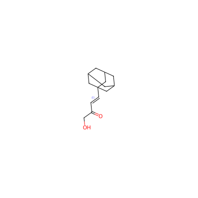 O=C(/C=C/C12CC3CC(CC(C3)C1)C2)CO